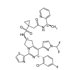 C[C@@H](NC(=O)CC1(S(=O)(=O)N[C@H]2CC3=C(c4ccn(C(F)F)n4)[C@H](c4ccc(F)cc4Cl)N=C(c4nccs4)N3C2)CC1)c1ccccn1